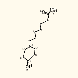 O=C(O)CCCCCCN1CCC(O)CC1